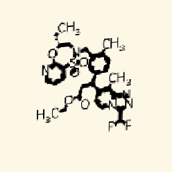 CCOC(=O)CC(c1ccc(C)c(CN2C[C@@H](CC)Oc3ncccc3S2(=O)=O)c1)c1ccn2c(C(F)F)nnc2c1C